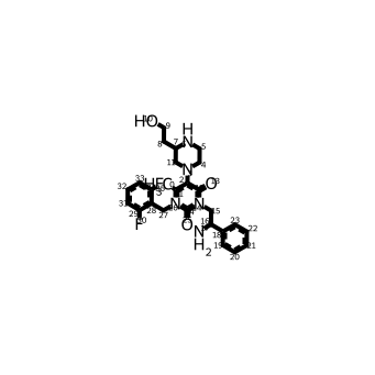 Cc1c(N2CCNC(CCO)C2)c(=O)n(CC(N)c2ccccc2)c(=O)n1Cc1c(F)cccc1F